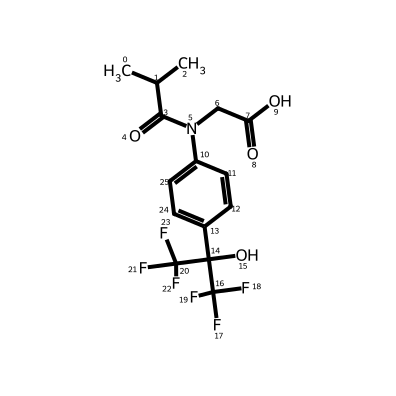 CC(C)C(=O)N(CC(=O)O)c1ccc(C(O)(C(F)(F)F)C(F)(F)F)cc1